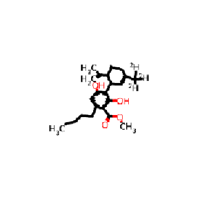 [2H]C([2H])([2H])C1=CC(c2c(O)cc(CCCCC)c(C(=O)OC)c2O)C(C(=C)C)CC1